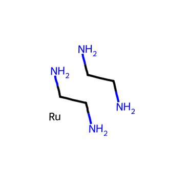 NCCN.NCCN.[Ru]